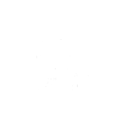 CC1=C(C)C(C)[C]([Zr+2]([CH3])[CH3])=C1C.[Cl-].[Cl-].[SiH4]